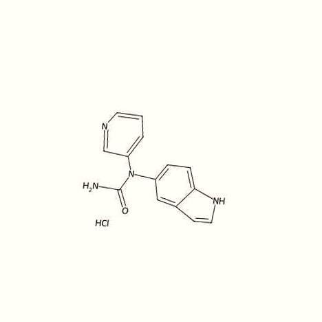 Cl.NC(=O)N(c1cccnc1)c1ccc2[nH]ccc2c1